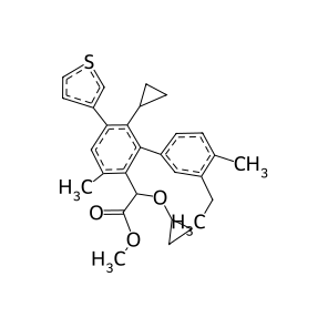 CCc1cc(-c2c(C3CC3)c(-c3ccsc3)cc(C)c2C(OC2CC2)C(=O)OC)ccc1C